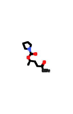 COC(=O)CC[C@@H](C)OC(=O)N1CCCC1